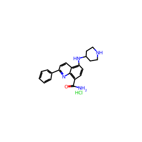 Cl.NC(=O)c1ccc(NC2CCNCC2)c2ccc(-c3ccccc3)nc12